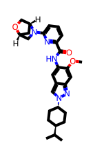 COc1cc2nn([C@H]3CC[C@H](C(C)C)CC3)cc2cc1NC(=O)c1cccc(N2C[C@H]3C[C@@H]2CO3)n1